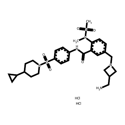 CN(c1ccc(CN2CC(CN)C2)cc1C(=O)Nc1ccc(S(=O)(=O)N2CCC(C3CC3)CC2)cc1)S(C)(=O)=O.Cl.Cl